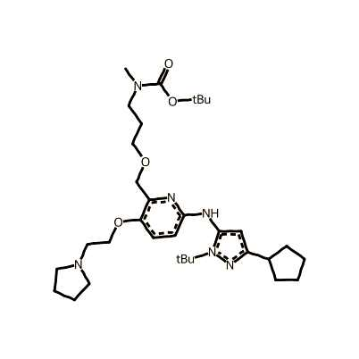 CN(CCCOCc1nc(Nc2cc(C3CCCC3)nn2C(C)(C)C)ccc1OCCN1CCCC1)C(=O)OC(C)(C)C